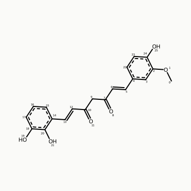 COc1cc(C=CC(=O)CC(=O)C=Cc2cccc(O)c2O)ccc1O